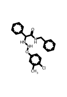 Cc1cc(ONNC(C(=O)NCc2ccccc2)c2ccccc2)ccc1Cl